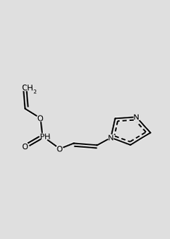 C=CO[PH](=O)OC=Cn1ccnc1